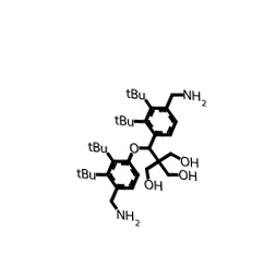 CC(C)(C)c1c(CN)ccc(OC(c2ccc(CN)c(C(C)(C)C)c2C(C)(C)C)C(CO)(CO)CO)c1C(C)(C)C